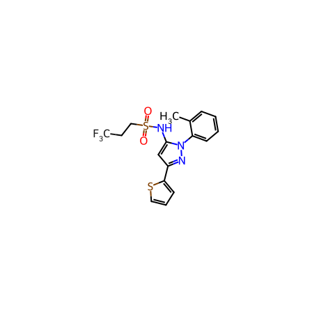 Cc1ccccc1-n1nc(-c2cccs2)cc1NS(=O)(=O)CCC(F)(F)F